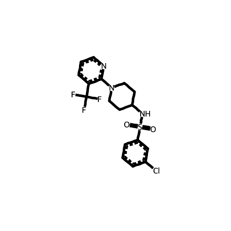 O=S(=O)(NC1CCN(c2ncccc2C(F)(F)F)CC1)c1cccc(Cl)c1